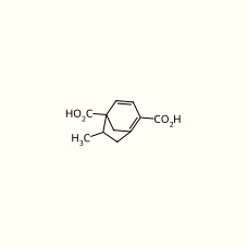 CC1CC2=C(C(=O)O)C=CC1(C(=O)O)C2